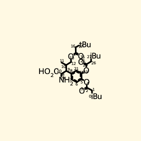 CCC(C)CC(=O)Oc1ccc(C(C(C)COC(=O)CC(C)(C)C)[C@H](N)C(=O)O)cc1OC(=O)CC(C)CC